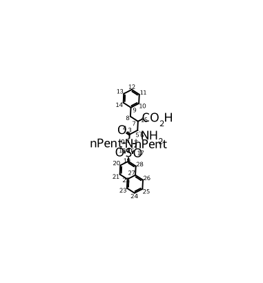 CCCCC[N+](CCCCC)(C(=O)[C@@H](N)C(Cc1ccccc1)C(=O)O)S(=O)(=O)c1ccc2ccccc2c1